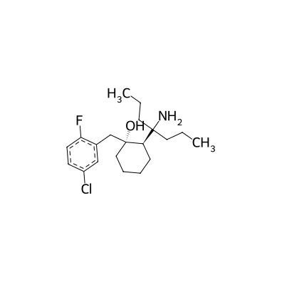 CCCC(N)(CCC)[C@H]1CCCC[C@@]1(O)Cc1cc(Cl)ccc1F